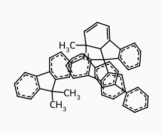 CC1(C)c2ccccc2-c2ccc(N(c3ccc(-c4ccccc4)cc3)C3(C)C=CC=C4c5ccccc5C5(c6ccccc6-c6ccccc65)C43)cc21